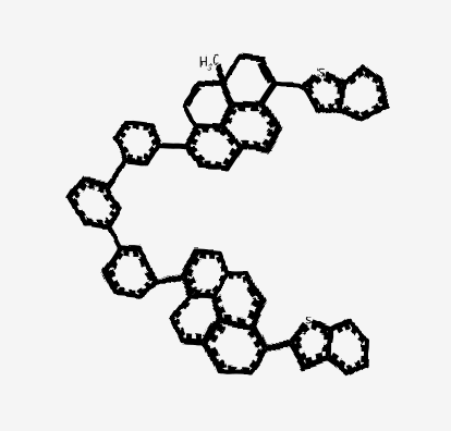 CC12C=Cc3c(-c4cccc(-c5cccc(-c6cccc(-c7ccc8ccc9c(-c%10cc%11ccccc%11s%10)ccc%10ccc7c8c%109)c6)c5)c4)ccc4ccc(c1c34)C(c1cc3ccccc3s1)=CC2